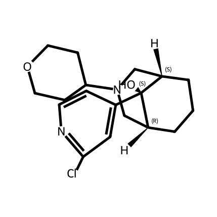 O[C@]1(c2ccnc(Cl)c2)[C@@H]2CCC[C@H]1CN(C1CCOCC1)C2